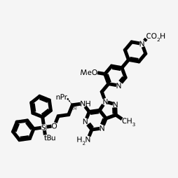 CCC[C@@H](CCO[Si](c1ccccc1)(c1ccccc1)C(C)(C)C)Nc1nc(N)nc2c(C)nn(Cc3ncc(C4=CCN(C(=O)O)CC4)cc3OC)c12